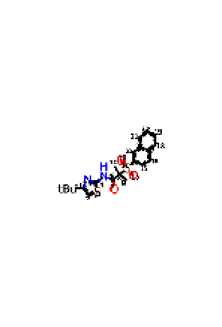 CC(C)(C)c1csc(NC(=O)C(C)(C)S(=O)(=O)c2ccc3ccccc3c2)n1